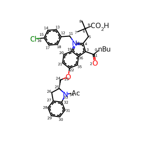 CCCCC(=O)c1c(CC(C)(C)C(=O)O)n(Cc2ccc(Cl)cc2)c2ccc(OC[C@@H]3Cc4ccccc4N3C(C)=O)cc12